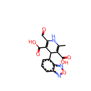 CC1=C(C(=O)O)C(c2cccc3nonc23)C(C(=O)O)=C(C=O)N1